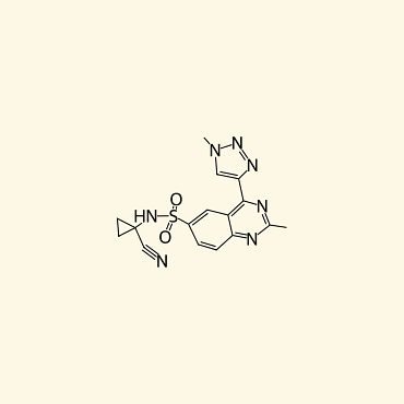 Cc1nc(-c2cn(C)nn2)c2cc(S(=O)(=O)NC3(C#N)CC3)ccc2n1